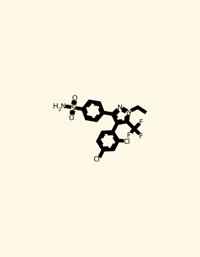 CCn1nc(-c2ccc(S(N)(=O)=O)cc2)c(-c2ccc(Cl)cc2Cl)c1C(F)(F)F